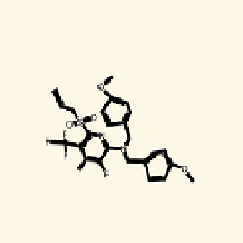 C=CCS(=O)(=O)c1nc(N(Cc2ccc(OC)cc2)Cc2ccc(OC)cc2)c(F)c(C)c1C(F)(F)F